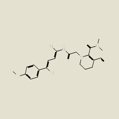 COc1ccc(/C(N)=C/C=C(\N)NC(=O)CN2CCCC(C=O)=C2C(=O)N(C)C)cc1